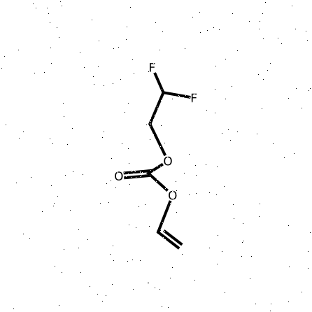 C=COC(=O)OCC(F)F